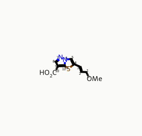 COCC=Cc1cn2ncc(C(=O)O)c2s1